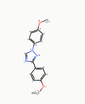 O=C(O)Oc1ccc(-c2ncn(-c3ccc(OC(F)(F)F)cc3)n2)cc1